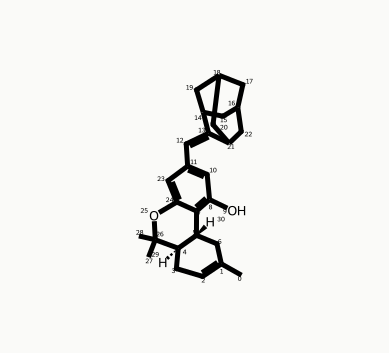 CC1=CC[C@@H]2[C@@H](C1)c1c(O)cc(C=C3C4CC5CC(C4)CC3C5)cc1OC2(C)C